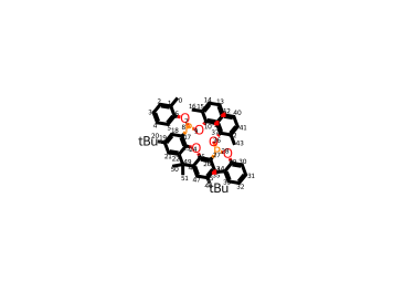 Cc1ccccc1OP(Oc1ccccc1C)c1cc(C(C)(C)C)cc2c1Oc1c(P(Oc3ccccc3C)Oc3ccccc3C)cc(C(C)(C)C)cc1C2(C)C